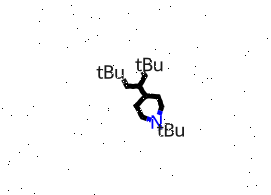 CC(C)(C)CC(CC(C)(C)C)C1CCN(C(C)(C)C)CC1